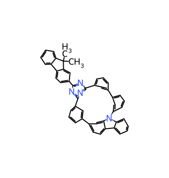 CC1(C)c2ccccc2-c2ccc(-c3nc4nc(n3)-c3cccc(c3)-c3ccc5c6ccccc6n(c5c3)-c3cccc(c3)-c3cccc-4c3)cc21